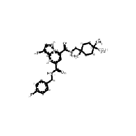 CC1(CNC(=O)c2cc(C(=O)NCc3ccc(F)cc3)nc3c(F)cnn23)CCC(C)(C(=O)O)CC1